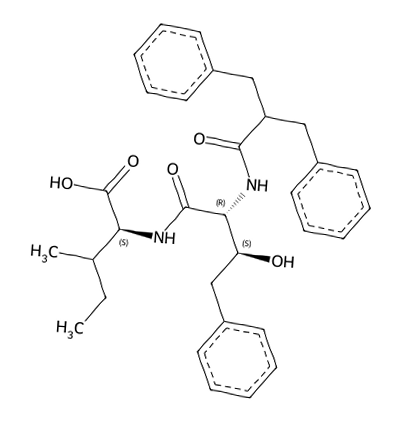 CCC(C)[C@H](NC(=O)[C@H](NC(=O)C(Cc1ccccc1)Cc1ccccc1)[C@@H](O)Cc1ccccc1)C(=O)O